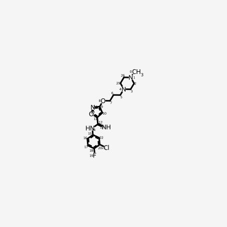 CN1CCN(CCCOc2cc(C(=N)Nc3ccc(F)c(Cl)c3)on2)CC1